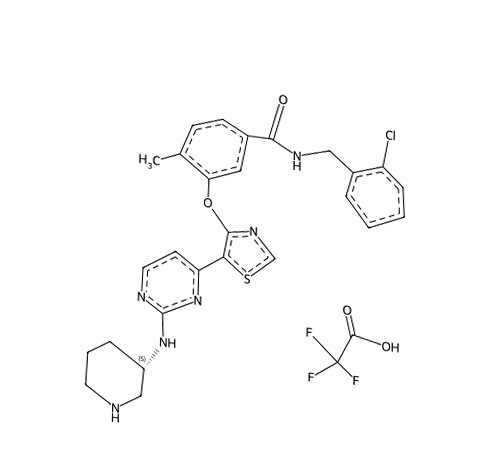 Cc1ccc(C(=O)NCc2ccccc2Cl)cc1Oc1ncsc1-c1ccnc(N[C@H]2CCCNC2)n1.O=C(O)C(F)(F)F